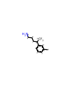 Cc1cccc(C(CCCN)C(F)(F)F)c1